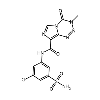 Cn1nnc2c(C(=O)Nc3cc(Cl)cc(S(N)(=O)=O)c3)ncn2c1=O